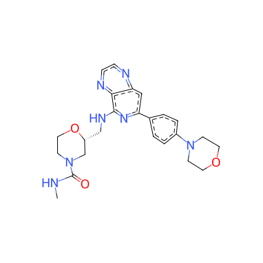 CNC(=O)N1CCO[C@H](CNc2nc(-c3ccc(N4CCOCC4)cc3)cc3nccnc23)C1